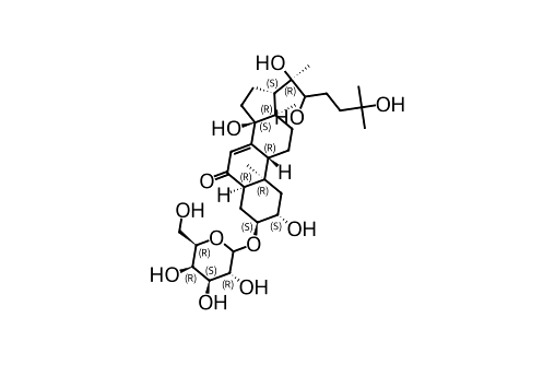 CC(C)(O)CCC(O)[C@](C)(O)[C@H]1CC[C@@]2(O)C3=CC(=O)[C@@H]4C[C@H](OC5O[C@H](CO)[C@H](O)[C@H](O)[C@H]5O)[C@@H](O)C[C@]4(C)[C@H]3CC[C@]12C